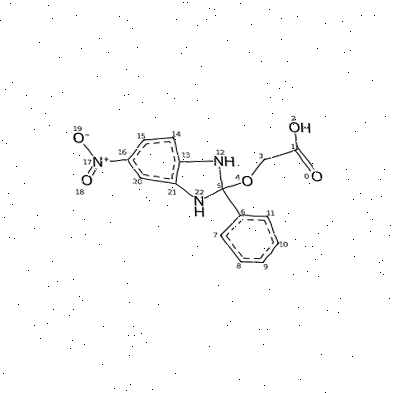 O=C(O)COC1(c2ccccc2)Nc2ccc([N+](=O)[O-])cc2N1